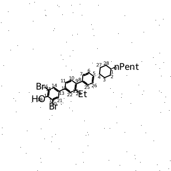 CCCCC[C@H]1CC[C@H](c2ccc(-c3ccc(-c4cc(Br)c(O)c(Br)c4)cc3CC)cc2)CC1